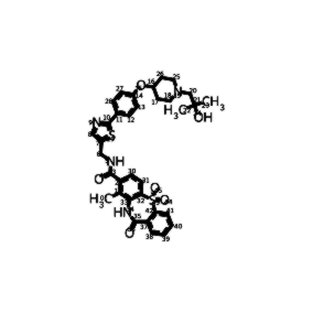 Cc1c(C(=O)NCc2cnc(-c3ccc(OC4CCN(CC(C)(C)O)CC4)cc3)s2)ccc2c1NC(=O)c1ccccc1S2(=O)=O